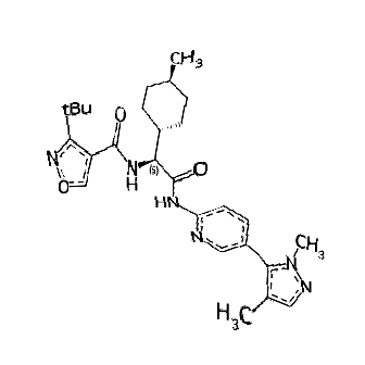 Cc1cnn(C)c1-c1ccc(NC(=O)[C@@H](NC(=O)c2conc2C(C)(C)C)[C@H]2CC[C@H](C)CC2)nc1